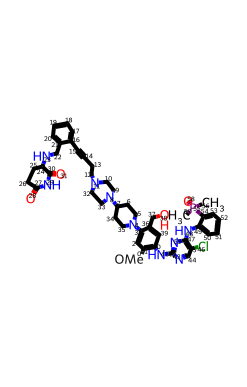 COc1cc(N2CCC(N3CCN(CCC#Cc4ccccc4CNC4CCC(=O)NC4=O)CC3)CC2)c(CO)cc1Nc1ncc(Cl)c(Nc2ccccc2P(C)(C)=O)n1